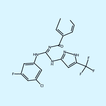 C/C=C\C(=C/C)C(=O)/N=C(/Nc1cc(F)cc(Cl)c1)Nc1cc(C(F)(F)F)[nH]n1